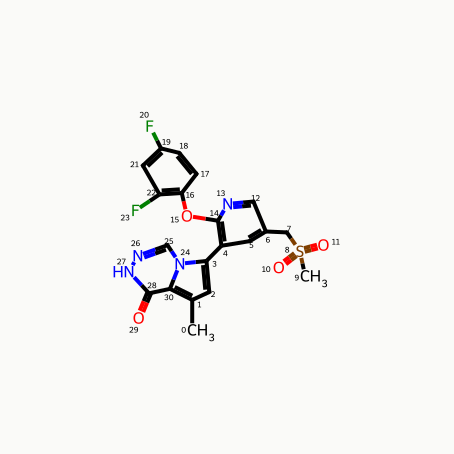 Cc1cc(-c2cc(CS(C)(=O)=O)cnc2Oc2ccc(F)cc2F)n2cn[nH]c(=O)c12